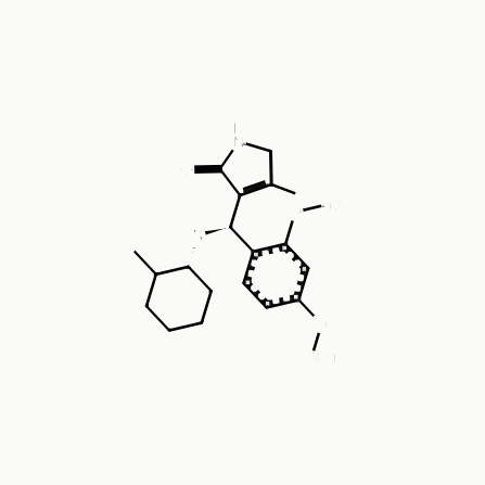 CCCCOc1ccc([C@@H](N[C@@H]2CCCCC2C)C2=C(C)CNC2=O)c(OCCCC)c1